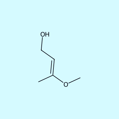 COC(C)=CCO